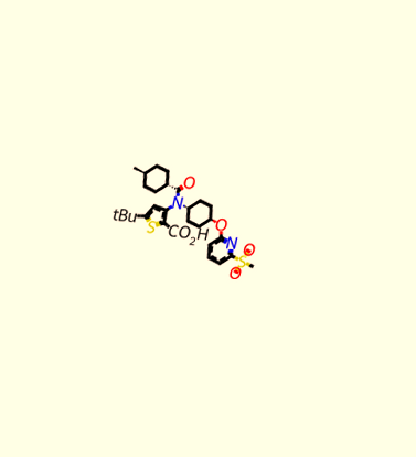 CC(C)(C)c1cc(N(C(=O)[C@H]2CC[C@H](C)CC2)[C@H]2CC[C@H](Oc3cccc(S(C)(=O)=O)n3)CC2)c(C(=O)O)s1